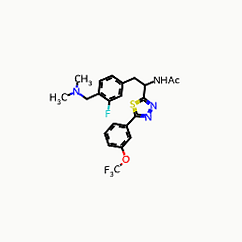 CC(=O)NC(Cc1ccc(CN(C)C)c(F)c1)c1nnc(-c2cccc(OC(F)(F)F)c2)s1